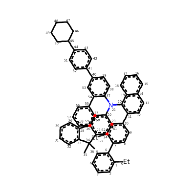 CCc1ccccc1-c1ccc(-c2ccc3ccccc3c2N(c2ccc3c(c2)-c2ccccc2C3(C)C)c2ccc(-c3ccc(C4CCCCC4)cc3)cc2-c2ccccc2)cc1CC